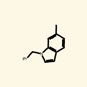 Cc1ccc2ccn(CC(C)C)c2c1